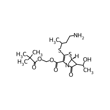 CC(CCN)SC1=C(C(=O)OCOC(=O)C(C)(C)C)N2C(=O)C(C(C)O)[C@H]2S1